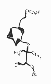 CC(C)(C)OC(=O)C(C)(C)Oc1cccc(CCC(=O)O)c1